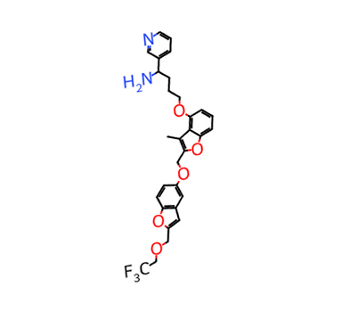 Cc1c(COc2ccc3oc(COCC(F)(F)F)cc3c2)oc2cccc(OCCCC(N)c3cccnc3)c12